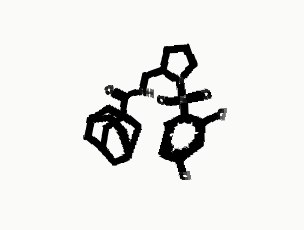 O=C(NCC1CCCN1S(=O)(=O)c1ccc(Cl)cc1Cl)C12CC3CC(CC(C3)C1)C2